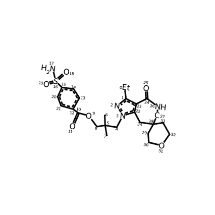 CCc1nn(CC(C)(C)COC(=O)c2ccc(S(N)(=O)=O)cc2)c2c1C(=O)NCC1(CCOCC1)C2